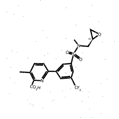 Cc1ccc(-c2cc(C(F)(F)F)cc(S(=O)(=O)N(C)C[C@H]3CO3)c2)nc1C(=O)O